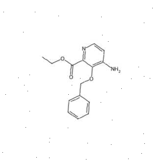 CCOC(=O)c1nccc(N)c1OCc1ccccc1